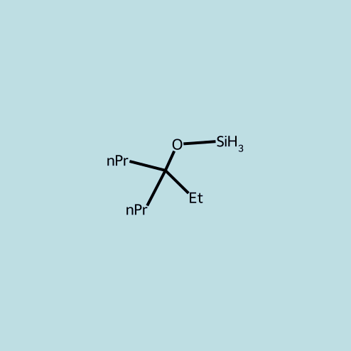 CCCC(CC)(CCC)O[SiH3]